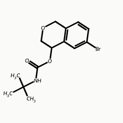 CC(C)(C)NC(=O)OC1COCc2ccc(Br)cc21